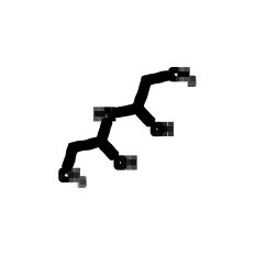 CCC(O)NC(O)CC